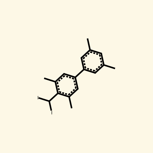 Cc1cc(C)cc(-c2cc(C)c(C(I)I)c(C)c2)c1